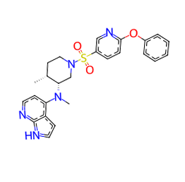 C[C@@H]1CCN(S(=O)(=O)c2ccc(Oc3ccccc3)nc2)C[C@@H]1N(C)c1ccnc2[nH]ccc12